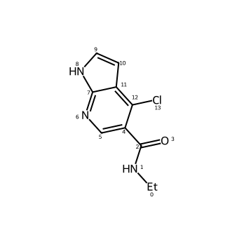 CCNC(=O)c1cnc2[nH]ccc2c1Cl